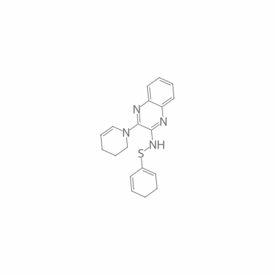 C1=CC(SNc2nc3ccccc3nc2N2C=CCCC2)=CCC1